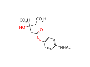 CC(=O)Nc1ccc(OC(=O)CC(O)(CC(=O)O)C(=O)O)cc1